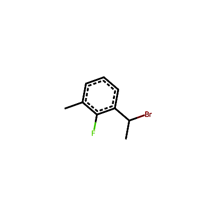 Cc1cccc(C(C)Br)c1F